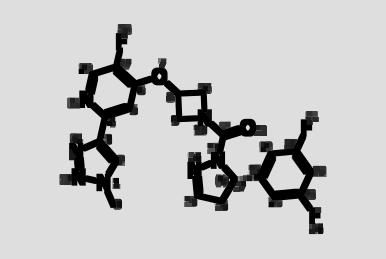 Cn1cc(-c2cc(OC3CN(C(=O)N4N=CC[C@H]4c4cc(F)cc(F)c4)C3)c(F)cn2)nn1